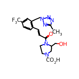 Cc1nnn(Cc2cc(C(F)(F)F)ccc2C=CC(=O)N2CCN(C(=O)O)CC2CO)n1